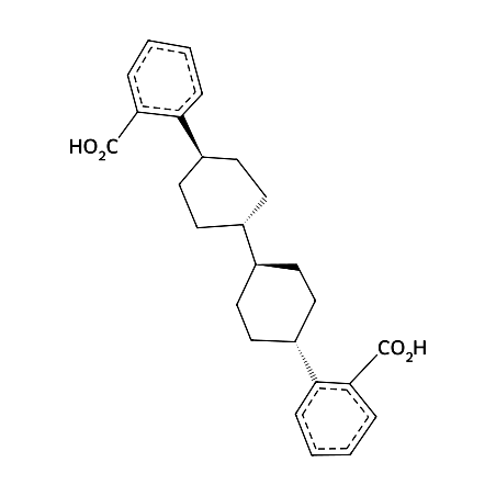 O=C(O)c1ccccc1[C@H]1CC[C@H]([C@H]2CC[C@H](c3ccccc3C(=O)O)CC2)CC1